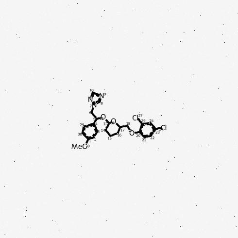 COc1ccc(C(Cn2cncn2)OC2CCCC(COc3ccc(Cl)cc3Cl)O2)cc1